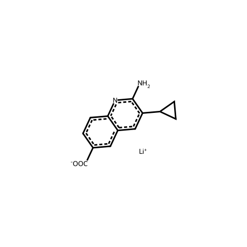 Nc1nc2ccc(C(=O)[O-])cc2cc1C1CC1.[Li+]